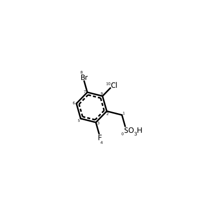 O=S(=O)(O)Cc1c(F)ccc(Br)c1Cl